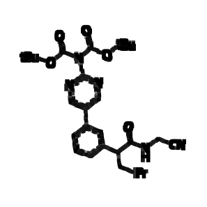 CC(C)CC(C(=O)NCC#N)c1cccc(-c2cnc(N(C(=O)OC(C)(C)C)C(=O)OC(C)(C)C)nc2)c1